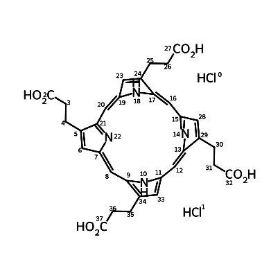 Cl.Cl.O=C(O)CCC1=Cc2cc3[nH]c(cc4nc(cc5[nH]c(cc1n2)cc5CCC(=O)O)C=C4CCC(=O)O)cc3CCC(=O)O